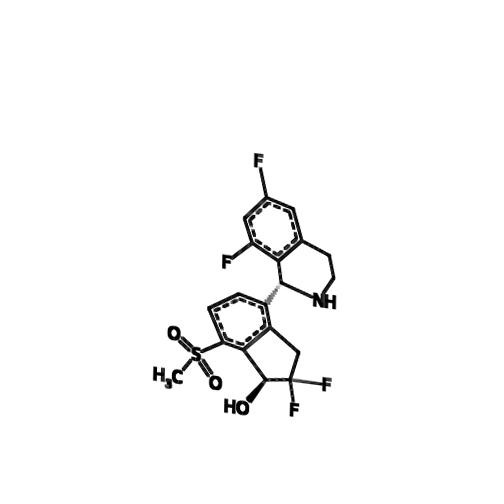 CS(=O)(=O)c1ccc([C@H]2NCCc3cc(F)cc(F)c32)c2c1[C@H](O)C(F)(F)C2